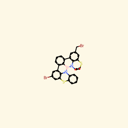 BrCc1cc2c3c(c1)-c1cccc4c1B(N1c5ccccc5Sc5cc(Br)cc-4c51)N3c1ccccc1S2